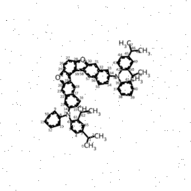 CC(C)c1ccc(N(c2ccccc2)c2ccc3cc4c(cc3c2)oc2ccc3oc5cc6cc(N(c7ccccc7)c7ccc(C(C)C)cc7C(C)C)ccc6cc5c3c24)c(C(C)C)c1